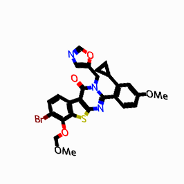 COCOc1c(Br)ccc2c1sc1nc(-c3ccc(OC)cc3C3CC3)n(Cc3cnco3)c(=O)c12